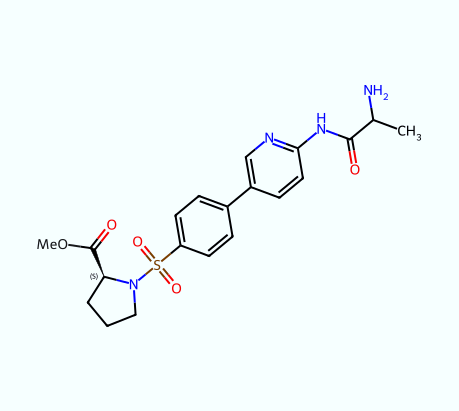 COC(=O)[C@@H]1CCCN1S(=O)(=O)c1ccc(-c2ccc(NC(=O)C(C)N)nc2)cc1